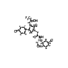 O=C(Cn1nc(-c2ccc(Cl)cc2)n(C[C@H](O)C(F)(F)F)c1=O)N[C@@H](CO)c1cccc(Cl)c1